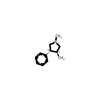 C[C@@H]1CN(C)C[C@H]1c1ccccc1